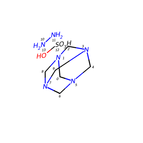 C1N2CN3CN1CN(C2)C3.NN.O=S(=O)(O)O